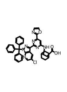 O=C(O)C1C2CCC(CC2)C1Nc1cc(-c2ncco2)nc(-c2nn(C(c3ccccc3)(c3ccccc3)c3ccccc3)c3ncc(Cl)cc23)n1